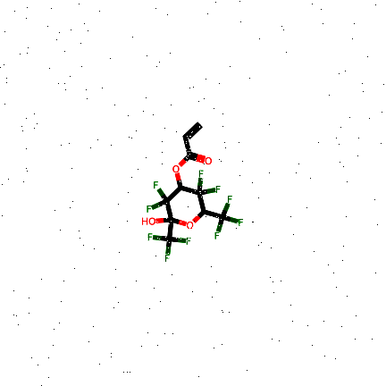 C=CC(=O)OC1C(F)(F)C(C(F)(F)F)OC(O)(C(F)(F)F)C1(F)F